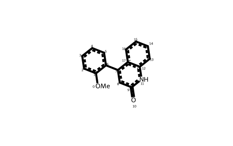 COc1ccccc1-c1cc(=O)[nH]c2ccccc12